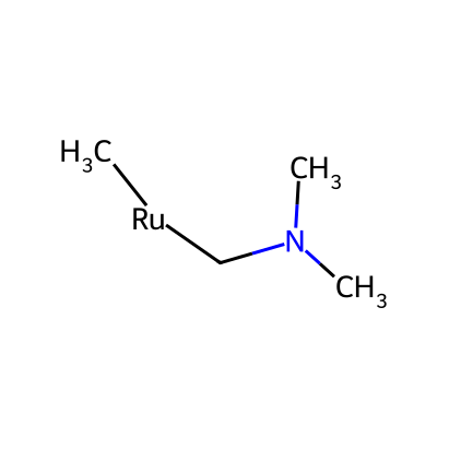 [CH3][Ru][CH2]N(C)C